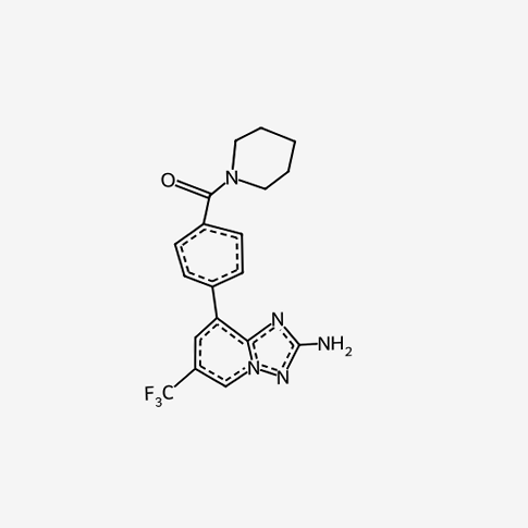 Nc1nc2c(-c3ccc(C(=O)N4CCCCC4)cc3)cc(C(F)(F)F)cn2n1